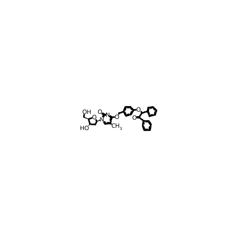 Cc1cn([C@H]2C[C@H](O)[C@@H](CO)O2)c(=O)nc1OCc1ccc(OC(C(=O)c2ccccc2)c2ccccc2)cc1